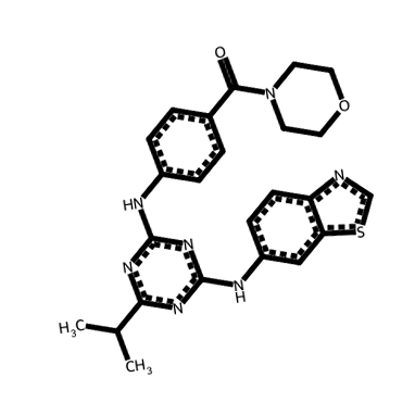 CC(C)c1nc(Nc2ccc(C(=O)N3CCOCC3)cc2)nc(Nc2ccc3ncsc3c2)n1